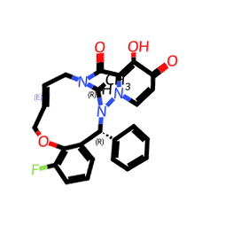 C[C@@H]1N2C/C=C/COc3c(F)cccc3[C@@H](c3ccccc3)N1n1ccc(=O)c(O)c1C2=O